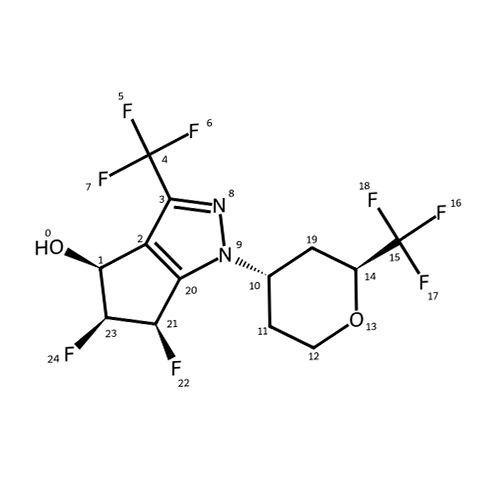 O[C@H]1c2c(C(F)(F)F)nn([C@H]3CCO[C@H](C(F)(F)F)C3)c2[C@@H](F)[C@H]1F